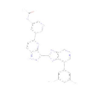 CCC(=O)Nc1cncc(-c2ccc3[nH]nc(-c4nc5c(-c6cc(C)cc(F)c6)cncc5[nH]4)c3n2)c1